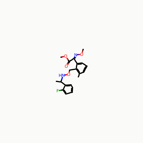 CO/N=C(/C(=O)OC)c1cccc(C)c1CONC(C)c1ccccc1F